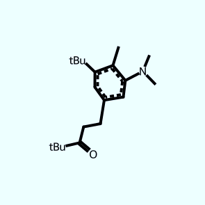 Cc1c(N(C)C)cc(CCC(=O)C(C)(C)C)cc1C(C)(C)C